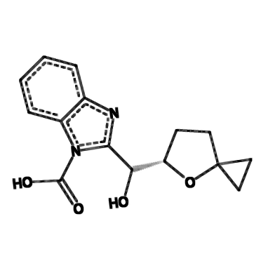 O=C(O)n1c(C(O)[C@@H]2CCC3(CC3)O2)nc2ccccc21